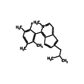 Cc1cc(C)c(F)c(-c2c3ccc(CC(C)C)cc3cc[n+]2C)c1C